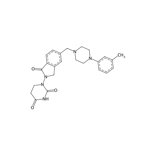 Cc1cccc(N2CCN(Cc3ccc4c(c3)CN(N3CCC(=O)NC3=O)C4=O)CC2)c1